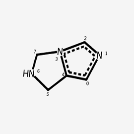 c1ncn2c1CNC2